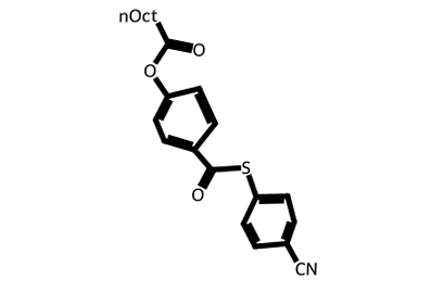 CCCCCCCCC(=O)Oc1ccc(C(=O)Sc2ccc(C#N)cc2)cc1